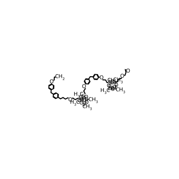 C=CCOc1ccc(Cc2ccc(CCCCOCCC[Si]3(C)O[SiH](C)O[SiH](C)O[Si](C)(CCCOc4ccc(Cc5ccc(OCCC[Si]6(C)O[SiH](C)O[SiH](C)O[Si](C)(CCCOCC7CO7)O6)cc5)cc4)O3)cc2)cc1